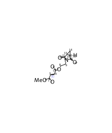 COC(=O)/C=C/C(=O)OCCN1C(=O)C2C[C@H]2C1=O